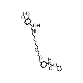 CC1(C)OCc2cc([C@@H](O)CNCCCCCCOCCOCc3cccc(NC(=O)OC4CCCC4)c3)ccc2O1